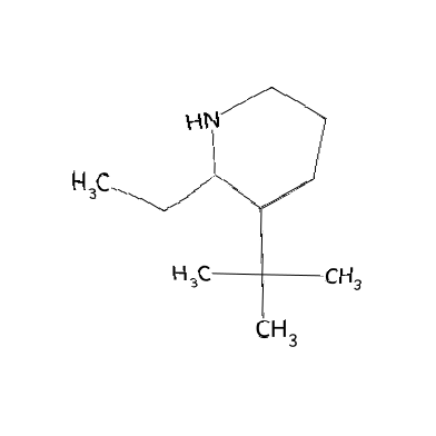 CCC1NCCCC1C(C)(C)C